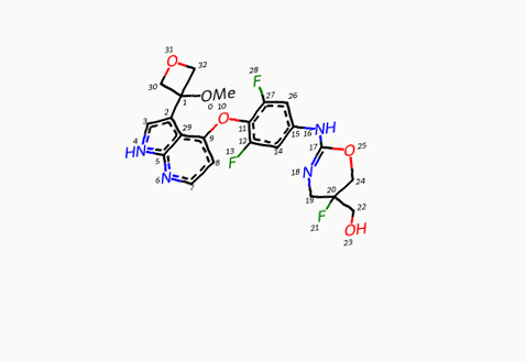 COC1(c2c[nH]c3nccc(Oc4c(F)cc(NC5=NCC(F)(CO)CO5)cc4F)c23)COC1